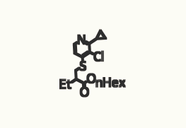 CCCCCCOC(=O)C(CC)CSc1ccnc(C2CC2)c1Cl